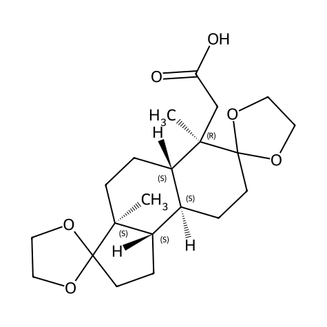 C[C@]12CC[C@H]3[C@@H](CCC4(OCCO4)[C@]3(C)CC(=O)O)[C@@H]1CCC21OCCO1